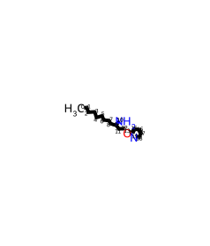 CCCCCCCCCC(N)CCOc1ccccn1